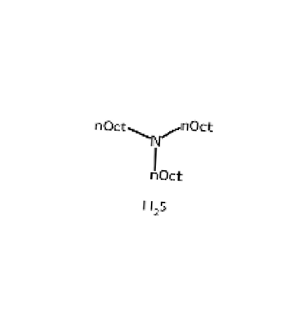 CCCCCCCCN(CCCCCCCC)CCCCCCCC.S